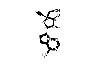 N#C[C@]1(CO)O[C@@H](c2ccc3c(N)ncnn23)[C@H](O)[C@@H]1O